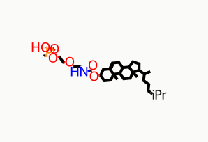 CC(C)CCCC(C)C1CCC2C3CC=C4CC(OC(=O)NCCOCCOP(C)(=O)O)CCC4(C)C3CCC12C